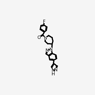 O=C(c1ccc(F)cc1)N1CCCC(Cn2ncc3cc(-c4cn[nH]c4)ccc32)CC1